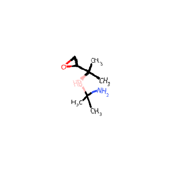 CC(C)(N)BC(C)(C)C1CO1